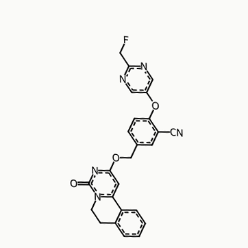 N#Cc1cc(COc2cc3n(c(=O)n2)CCc2ccccc2-3)ccc1Oc1cnc(CF)nc1